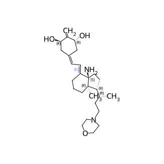 C=C1[C@H](O)CC(=C/C=C2\CCC[C@]3(C)[C@@H]([C@H](C)CCN4CCOCC4)CC[C@@]23N)C[C@H]1O